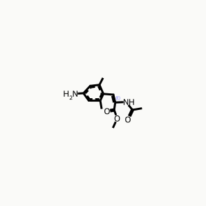 COC(=O)/C(=C\c1c(C)cc(N)cc1C)NC(C)=O